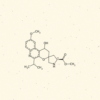 COC(=O)[C@@H]1CC2(CN1)CC(O)c1c(c(C(C)C)nc3ccc(OC)cc13)O2